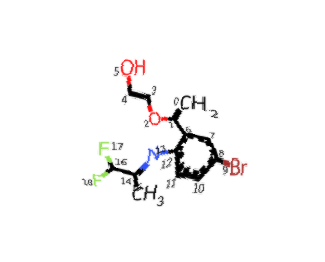 C=C(OCCO)c1cc(Br)ccc1/N=C(\C)C(F)F